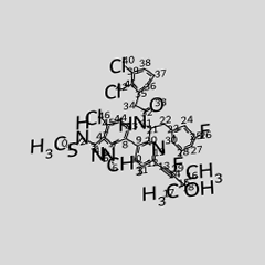 CSNc1nn(C)c2c(-c3ccc(C#CC(C)(C)O)nc3C(Cc3cc(F)cc(F)c3)NC(=O)Cc3cccc(Cl)c3Cl)ccc(Cl)c12